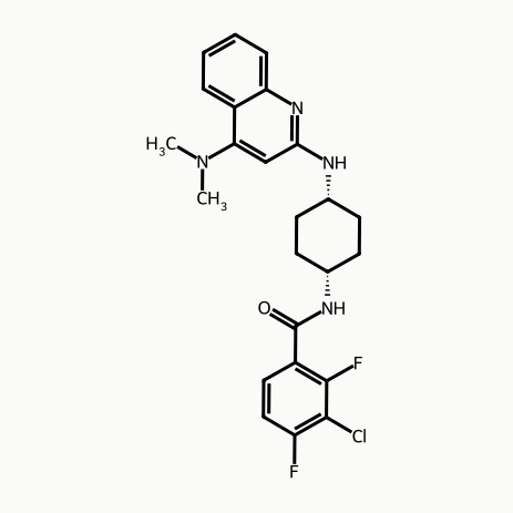 CN(C)c1cc(N[C@H]2CC[C@@H](NC(=O)c3ccc(F)c(Cl)c3F)CC2)nc2ccccc12